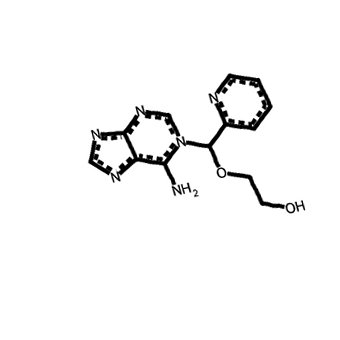 Nc1c2ncnc-2ncn1C(OCCO)c1ccccn1